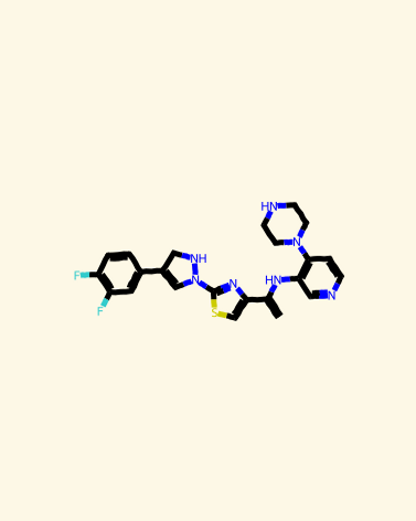 C=C(Nc1cnccc1N1CCNCC1)c1csc(N2C=C(c3ccc(F)c(F)c3)CN2)n1